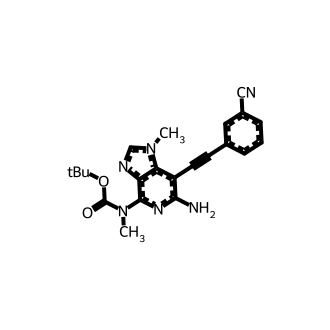 CN(C(=O)OC(C)(C)C)c1nc(N)c(C#Cc2cccc(C#N)c2)c2c1ncn2C